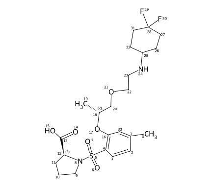 Cc1ccc(S(=O)(=O)N2CCC[C@H]2C(=O)O)c(O[C@H](C)COCCNC2CCC(F)(F)CC2)c1